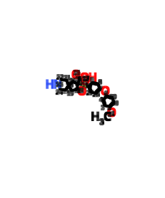 COc1ccc(Oc2ccc(S(=O)(=O)C3(C(=O)O)CCC4(CCNCC4)C3)cc2)cc1